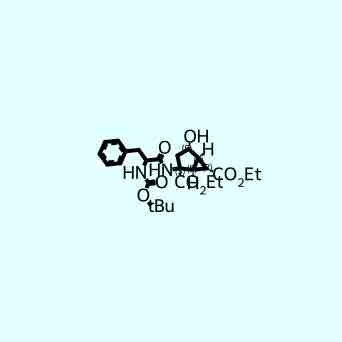 CCOC(=O)[C@H]1[C@H]2[C@@H]1[C@](NC(=O)C(Cc1ccccc1)NC(=O)OC(C)(C)C)(C(=O)OCC)C[C@@H]2O